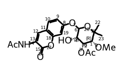 CO[C@@H]1[C@H](OC(C)=O)[C@H](O)C(Oc2ccc3cc(NC(C)=O)c(=O)oc3c2)OC1(C)C